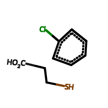 Clc1ccccc1.O=C(O)CCS